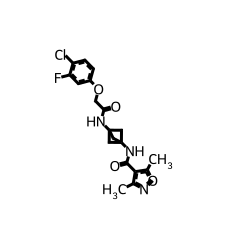 Cc1noc(C)c1C(=O)NC12CC(NC(=O)COc3ccc(Cl)c(F)c3)(C1)C2